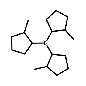 CC1CCCC1B(C1CCCC1C)C1CCCC1C